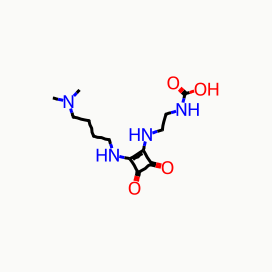 CN(C)CCCCNc1c(NCCNC(=O)O)c(=O)c1=O